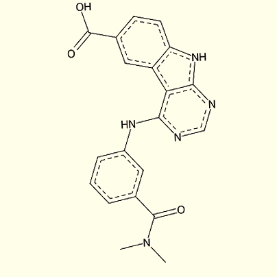 CN(C)C(=O)c1cccc(Nc2ncnc3[nH]c4ccc(C(=O)O)cc4c23)c1